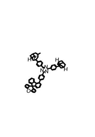 CC1CC2C[C@H]3CC(c4ccc(-c5nc(-c6ccc(-c7cccc8c7-c7ccccc7C87c8ccccc8Oc8ccccc87)cc6)nc(-c6ccc(C78CC9C[C@H](C7)C[C@@H](C9)C8)cc6)n5)cc4)(C1)CC23